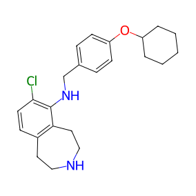 Clc1ccc2c(c1NCc1ccc(OC3CCCCC3)cc1)CCNCC2